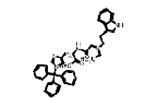 COC(=O)[C@H](Cc1cn(C(c2ccccc2)(c2ccccc2)c2ccccc2)cn1)NC(=O)CN(CCC1CNc2ccccc21)CC(=O)O